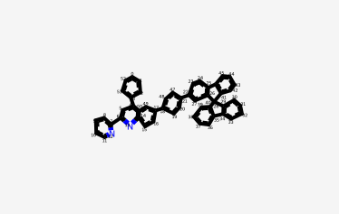 c1ccc(-c2cc(-c3ccccn3)nc3ccc(-c4ccc(-c5ccc6c(c5)C5(c7ccccc7-c7ccccc75)c5ccccc5-6)cc4)cc23)cc1